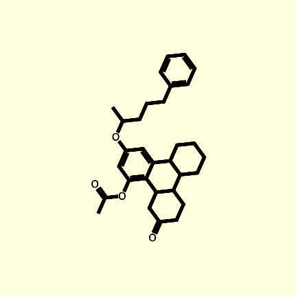 CC(=O)Oc1cc(OC(C)CCCc2ccccc2)cc2c1C1CC(=O)CCC1C1CCCCC21